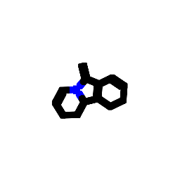 C=C1C2=C(CCC=C2)C2CCC=CN12